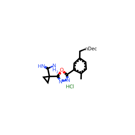 CCCCCCCCCCCc1ccc(C)c(-c2nnc(C3(C(=N)N)CC3)o2)c1.Cl